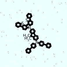 CC1(C)c2cc(N(c3ccc(-c4ccccc4)cc3)c3ccc(-c4ccccc4)cc3)ccc2-c2ccc(-n3c4ccc5c6ccccc6sc5c4c4c5sc6ccccc6c5ccc43)cc21